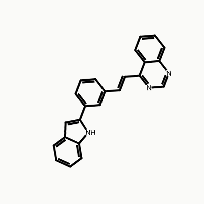 C(=C\c1ncnc2ccccc12)/c1cccc(-c2cc3ccccc3[nH]2)c1